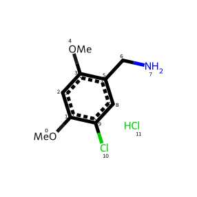 COc1cc(OC)c(CN)cc1Cl.Cl